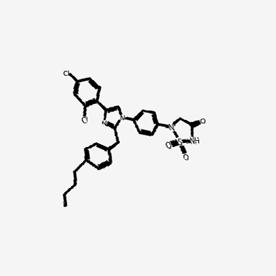 CCCCc1ccc(Cc2nc(-c3ccc(Cl)cc3Cl)cn2-c2ccc(N3CC(=O)NS3(=O)=O)cc2)cc1